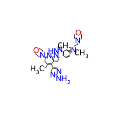 CCC1=C(c2cnc(N)nc2)C2=C(N=C(N3CCOCC3)C1)N(NN(C)c1cccc(N(C)CCN3CCOCC3)c1)CC2